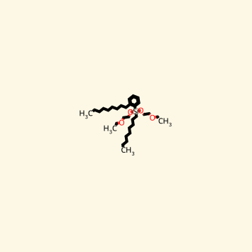 CCCCCCCCCc1ccccc1[Si](CCCCCCCCC)(OCCOCC)OCCOCC